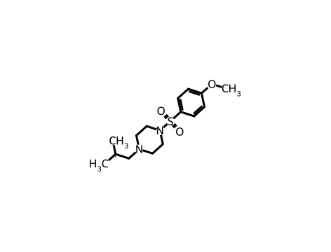 COc1ccc(S(=O)(=O)N2CCN(C[C](C)C)CC2)cc1